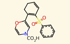 O=C(O)N1C=COC(C2=C(S(=O)(=O)c3ccccc3)C=CCC2)=C1